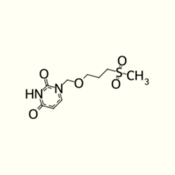 CS(=O)(=O)CCCOCn1ccc(=O)[nH]c1=O